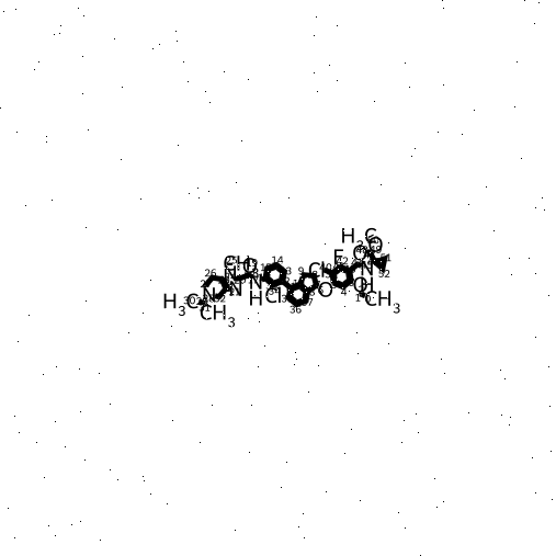 CCOc1cc(OC2CCc3c(-c4cccc(NC(=O)c5nc6c(n5C)CCN(C(C)C)C6)c4Cl)cccc32)c(Cl)c(F)c1CNC1(C(=O)OC)CC1